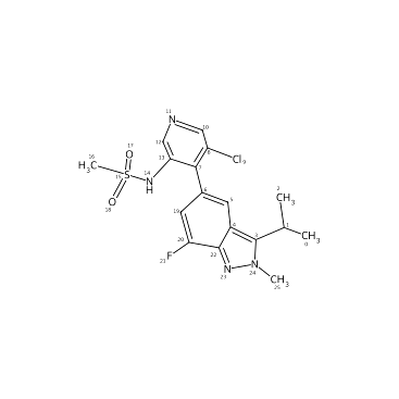 CC(C)c1c2cc(-c3c(Cl)cncc3NS(C)(=O)=O)cc(F)c2nn1C